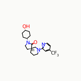 O=C1N([C@H]2CC[C@@H](O)CC2)CC[C@@]12CCCN(c1cc(C(F)(F)F)ccn1)C2